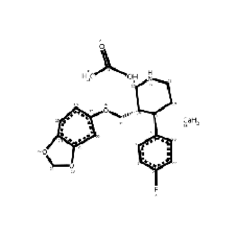 CC(=O)O.Fc1ccc([C@@H]2CCNC[C@H]2COc2ccc3c(c2)OCO3)cc1.[CaH2]